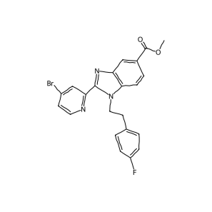 COC(=O)c1ccc2c(c1)nc(-c1cc(Br)ccn1)n2CCc1ccc(F)cc1